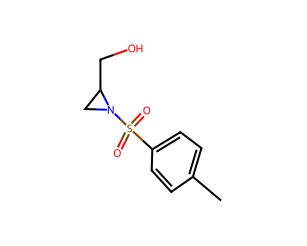 Cc1ccc(S(=O)(=O)N2CC2CO)cc1